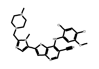 COc1cc(Nc2c(C#N)cnc3cc(-c4cnc(CN5CCN(C)CC5)n4C)sc23)c(Cl)cc1Cl